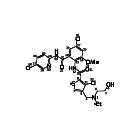 CCN(CCO)Cc1csc(C(=O)Nc2c(OC)cc(Cl)cc2C(=O)Nc2ccc(Cl)cn2)c1Cl